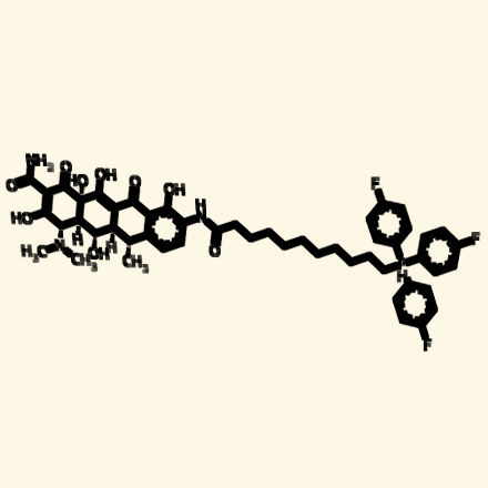 C[C@H]1c2ccc(NC(=O)CCCCCCCCCC[PH](c3ccc(F)cc3)(c3ccc(F)cc3)c3ccc(F)cc3)c(O)c2C(=O)C2=C(O)[C@]3(O)C(=O)C(C(N)=O)=C(O)[C@@H](N(C)C)[C@@H]3[C@@H](O)[C@@H]21